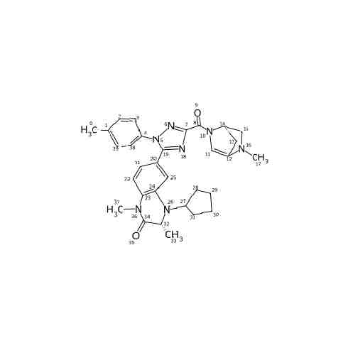 Cc1ccc(-n2nc(C(=O)N3C=C4CC3CN4C)nc2-c2ccc3c(c2)N(C2CCCC2)[C@H](C)C(=O)N3C)cc1